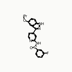 CC(C)Oc1ccc2[nH]nc(-c3ccnc(N[S+]([O-])c4cccc(F)c4)c3)c2c1